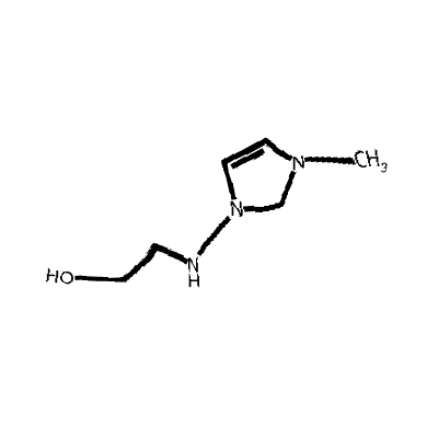 CN1C=CN(NCCO)C1